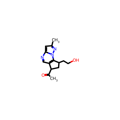 CC(=O)C1CC(CCO)c2c1cnc1cc(C)nn21